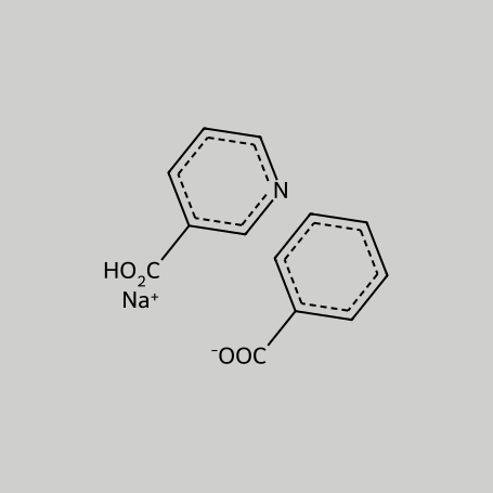 O=C(O)c1cccnc1.O=C([O-])c1ccccc1.[Na+]